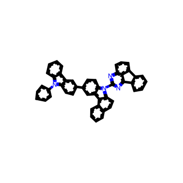 c1ccc(-n2c3ccccc3c3cc(-c4ccc5c(c4)c4c6ccccc6ccc4n5-c4nc5c6c(cccc6n4)-c4ccccc4-5)ccc32)cc1